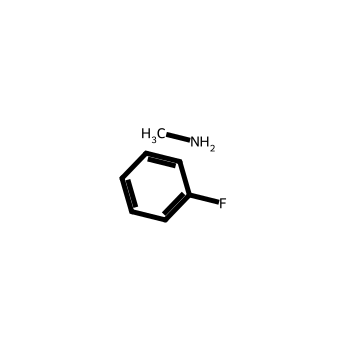 CN.Fc1ccccc1